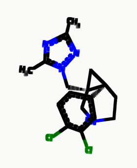 Cc1nc(C)n(C[C@@]23CNCC[C@]2(c2ccc(Cl)c(Cl)c2)C3)n1